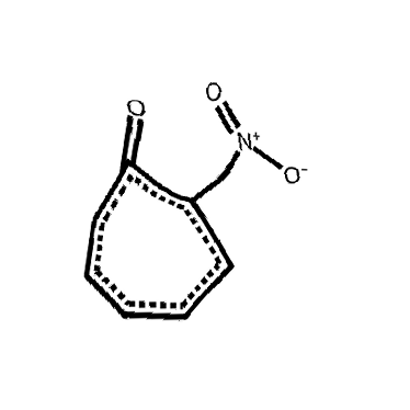 O=c1cccccc1[N+](=O)[O-]